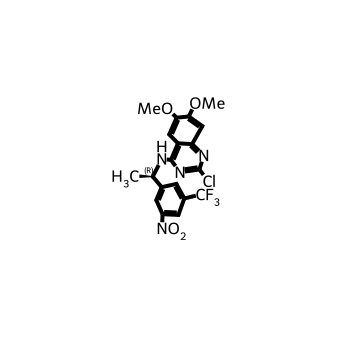 COc1cc2nc(Cl)nc(N[C@H](C)c3cc([N+](=O)[O-])cc(C(F)(F)F)c3)c2cc1OC